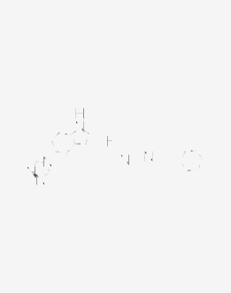 FC(Cc1c[nH]c2ccc(-n3cnnc3)cc12)CN1CCN(CCc2ccccc2)CC1